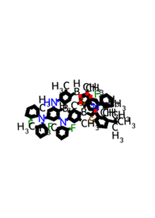 Cc1cc(C)c2c(c1)N(c1c(C)cccc1F)c1c(sc3ccc(C(C)(C)C)cc13)B2c1cc2c(cc1C)N(c1c(C)cccc1F)c1cc(N(c3c(C)cccc3F)c3c(C)cccc3F)cc3c1B2c1cc(Bc2sc4ccc(C(C)(C)C)cc4c2C)c(C)cc1N3